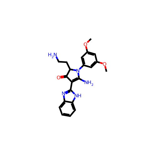 COc1cc(OC)cc(N2C(N)=C(c3nc4ccccc4[nH]3)C(=O)C2CCN)c1